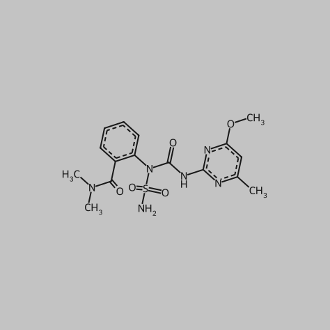 COc1cc(C)nc(NC(=O)N(c2ccccc2C(=O)N(C)C)S(N)(=O)=O)n1